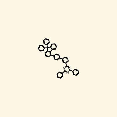 c1ccc(-c2nc(-c3ccccc3)nc(-c3cccc(-c4ccc(-c5cccc6c5-c5ccccc5C6(c5ccccc5)c5ccccc5)cc4)c3)n2)cc1